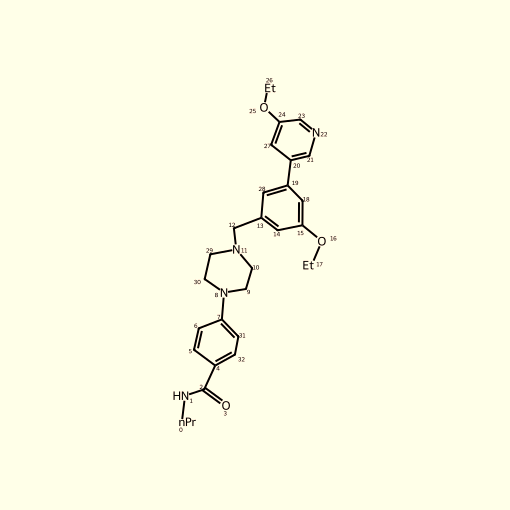 CCCNC(=O)c1ccc(N2CCN(Cc3cc(OCC)cc(-c4cncc(OCC)c4)c3)CC2)cc1